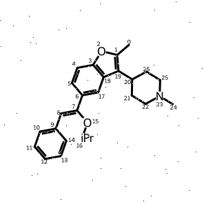 Cc1oc2ccc(C(=Cc3ccccc3)OC(C)C)cc2c1C1CCN(C)CC1